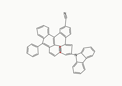 N#Cc1ccc(-c2cccc(-n3c4ccccc4c4ccccc43)c2)c(-c2c3ccccc3c(-c3ccccc3)c3ccccc23)c1